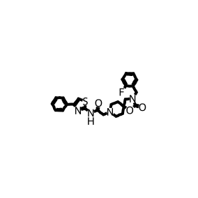 O=C(CN1CCC2(CC1)CN(Cc1ccccc1F)C(=O)O2)Nc1nc(-c2ccccc2)cs1